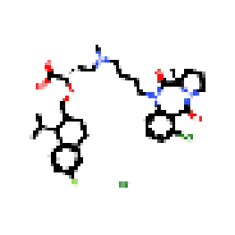 CC(C)[C@@H]1c2ccc(F)cc2CCC1CO[C@@H](CCN(C)CCCCN1C(=O)[C@@H]2CCCN2C(=O)c2c(Cl)cccc21)C(=O)O.Cl